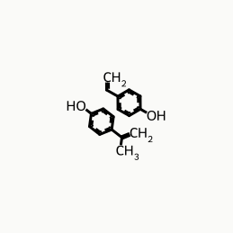 C=C(C)c1ccc(O)cc1.C=Cc1ccc(O)cc1